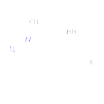 Bc1c(F)ccc2cnn(C)c12